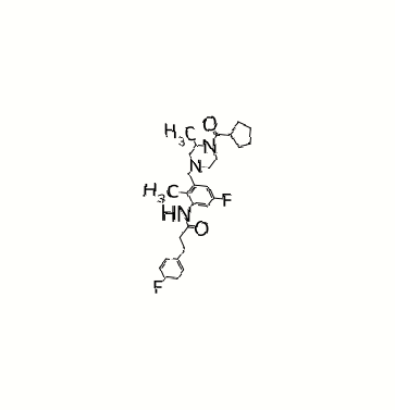 Cc1c(CN2CCN(C(=O)C3CCCC3)C(C)C2)cc(F)cc1NC(=O)CCc1ccc(F)cc1